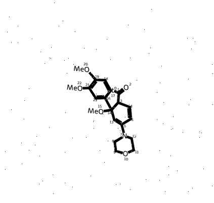 CCC(=O)C1C=CC(N2CCOCC2)=CC1(OC)c1ccc(OC)c(OC)c1